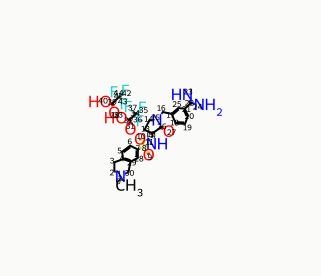 CN1CCc2ccc(S(=O)(=O)N[C@H]3CCN(Cc4cccc(C(=N)N)c4)C3=O)cc2C1.O=C(O)C(F)(F)F.O=C(O)C(F)(F)F